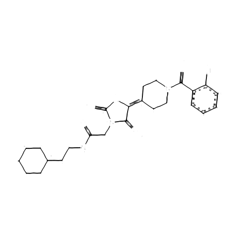 O=C(CN1C(=O)SC(=C2CCN(C(=O)c3ccccc3C(F)(F)F)CC2)C1=O)NCCC1CCCCC1